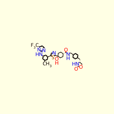 Cc1cc(Nc2nccc(C(F)(F)F)n2)cc(-c2cnc([C@]3(O)CC[C@H](C(=O)NCc4ccc(C[C@@H]5COC(=O)N5)cc4)CC3)s2)c1